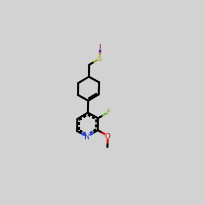 COc1nccc(C2=CCC(CSI)CC2)c1F